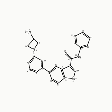 NC1CN(c2cncc(-c3ccc4[nH]nc(C(=O)Nc5cccnc5)c4c3)n2)C1